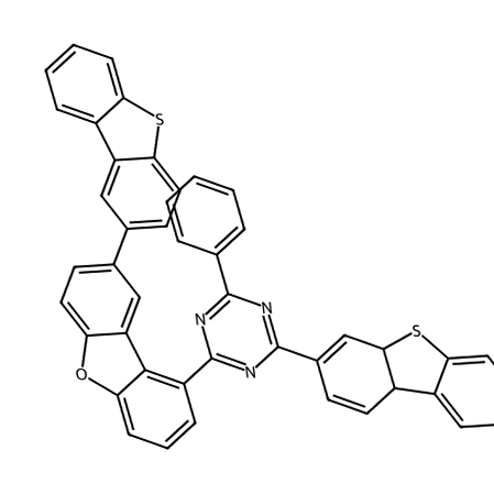 C1=CC2c3ccccc3SC2C=C1c1nc(-c2ccccc2)nc(-c2cccc3oc4ccc(-c5ccc6sc7ccccc7c6c5)cc4c23)n1